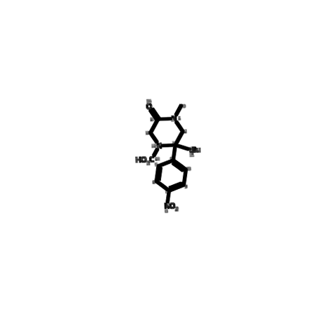 CN1CC(c2ccc([N+](=O)[O-])cc2)(C(C)(C)C)N(C(=O)O)CC1=O